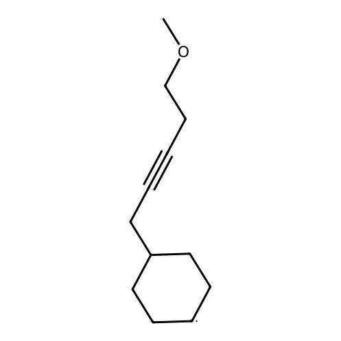 COCCC#CCC1CC[CH]CC1